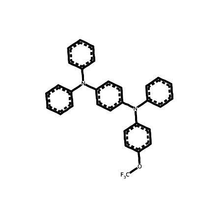 FC(F)(F)Oc1ccc(N(c2ccccc2)c2ccc(N(c3ccccc3)c3ccccc3)cc2)cc1